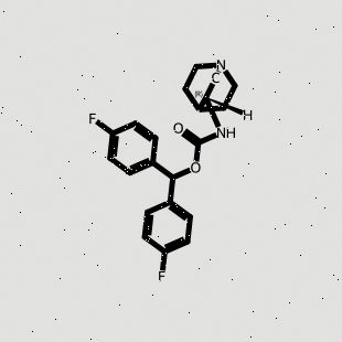 O=C(N[C@H]1CN2CCC1CC2)OC(c1ccc(F)cc1)c1ccc(F)cc1